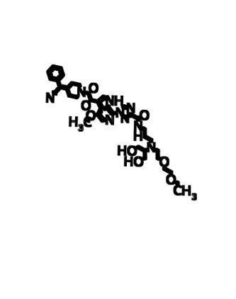 CCOCCOCCN(CCCNC(=O)c1ncn(-c2ncc(OC)c3c(C(=O)C(=O)N4CCC(=C(C#N)c5ccccc5)CC4)c[nH]c23)n1)C(CO)CO